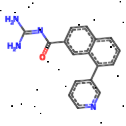 NC(N)=NC(=O)c1ccc2cccc(-c3cccnc3)c2c1